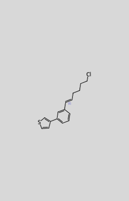 ClCCCC/C=C/c1cccc(-c2ccsc2)c1